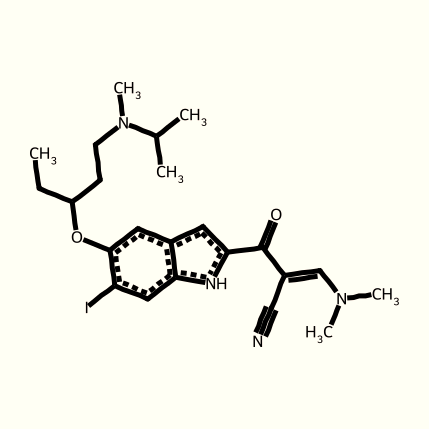 CCC(CCN(C)C(C)C)Oc1cc2cc(C(=O)/C(C#N)=C/N(C)C)[nH]c2cc1I